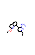 CCOc1ccc2cccc(-c3ccc(CC)nc3N)c2n1